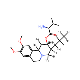 [2H]C1C2([2H])c3cc(OC)c(OC)cc3CCN2C([2H])([2H])C([2H])(C([2H])([2H])C([2H])(C)C([2H])([2H])[2H])C1([2H])OC(=O)[C@@H](N)C(C)C